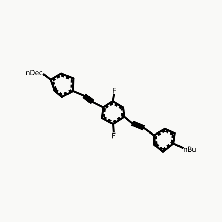 CCCCCCCCCCc1ccc(C#Cc2cc(F)c(C#Cc3ccc(CCCC)cc3)cc2F)cc1